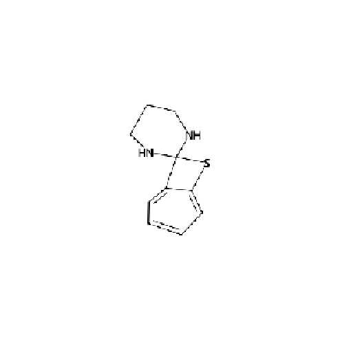 c1ccc2c(c1)SC21NCCCN1